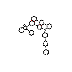 c1ccc(-c2ccc(-c3ccc(N(c4ccc(-c5cccc(-c6oc7ccccc7c6-c6ccccc6)c5)cc4)c4ccccc4-c4ccc(-c5ccccc5)cc4)cc3)cc2)cc1